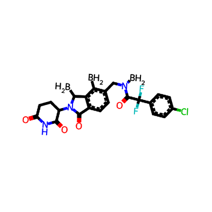 Bc1c(CN(B)C(=O)C(F)(F)c2ccc(Cl)cc2)ccc2c1C(B)N(C1CCC(=O)NC1=O)C2=O